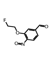 O=Cc1ccc(N=O)c(OCCF)c1